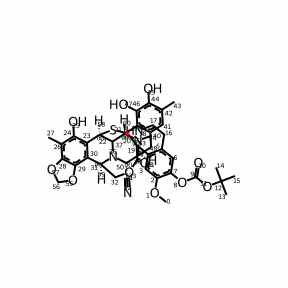 COc1cc2c(cc1OC(=O)OC(C)(C)C)CCN[C@]21CS[C@@H]2c3c(O)c(C)c4c(c3[C@H](COC1=O)N1C2[C@@H]2c3c(cc(C)c(O)c3O)C[C@@H]([C@@H]1C#N)N2C)OCO4